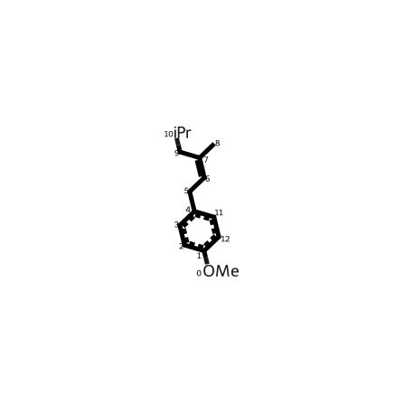 COc1ccc(C/C=C(/C)CC(C)C)cc1